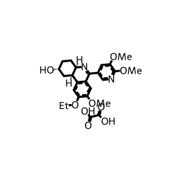 CCOc1cc2c(cc1OC)C(c1cnc(OC)c(OC)c1)=N[C@@H]1CC[C@@H](O)C[C@H]21.O=C(O)C(=O)O